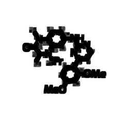 COc1ccc(-c2ccnc(Nc3ccc4c(c3)N(C(C)C)C(C)C(=O)N4C)n2)c(OC)c1